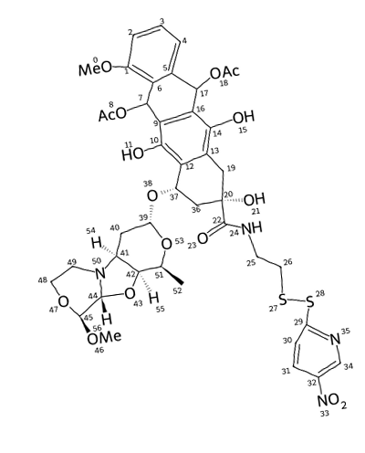 COc1cccc2c1C(OC(C)=O)c1c(O)c3c(c(O)c1C2OC(C)=O)C[C@@](O)(C(=O)NCCSSc1ccc([N+](=O)[O-])cn1)C[C@@H]3O[C@H]1C[C@H]2[C@H](O[C@@H]3[C@@H](OC)OCCN32)[C@H](C)O1